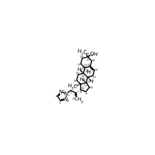 C=C(Cn1nccn1)[C@H]1CC[C@H]2[C@@H]3CC=C4C[C@@](C)(O)CC[C@@H]4[C@H]3CC[C@]12C